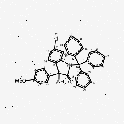 COc1ccc(C2(N)C(=O)N(C(c3ccccc3)(c3ccccc3)c3ccccc3)c3cc(Cl)ccc32)cc1